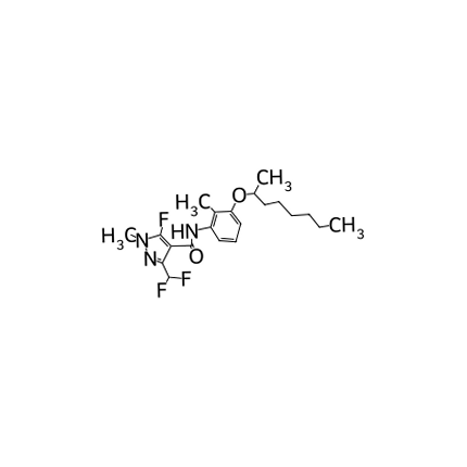 CCCCCCC(C)Oc1cccc(NC(=O)c2c(C(F)F)nn(C)c2F)c1C